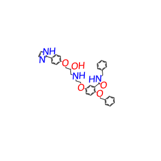 O=C(NCc1ccccc1)c1cc(OCCNCC(O)COc2ccc(-c3ncc[nH]3)cc2)ccc1OCc1ccccc1